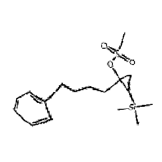 C[Si](C)(C)C1CC1(CCCCc1ccccc1)OS(C)(=O)=O